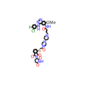 COc1cc2ncnc(Nc3ccc(F)c(Cl)c3)c2cc1NC(=O)/C=C/CN1CCC(N2CCN(C(=O)CSc3cccc4c3C(=O)N(C3CCC(=O)NC3=O)C4=O)CC2)CC1